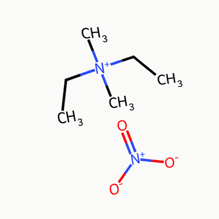 CC[N+](C)(C)CC.O=[N+]([O-])[O-]